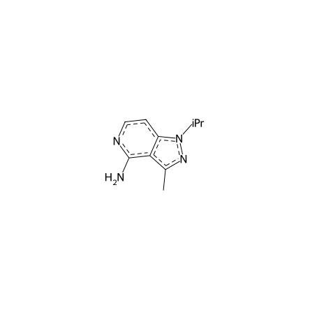 Cc1nn(C(C)C)c2ccnc(N)c12